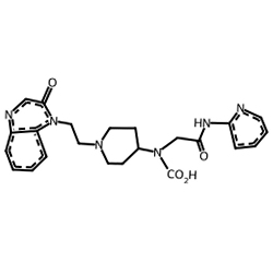 O=C(CN(C(=O)O)C1CCN(CCn2c(=O)cnc3ccccc32)CC1)Nc1ccccn1